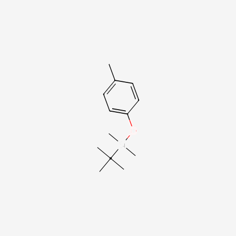 Cc1ccc(O[Si](C)(C)C(C)(C)C)cc1